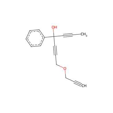 C#CCOCC#CC(O)(C#CC)c1ccccc1